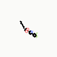 CCCCCCC[C@H]1CO[C@H](c2ccc(-c3ccc(F)c(F)c3)nc2)OC1